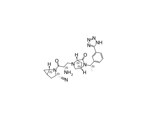 C[C@@H](c1cccc(-c2nnn[nH]2)c1)N1C(=O)[C@@H]2C[C@H]1CN2C[C@H](N)C(=O)N1[C@H](C#N)CC2C[C@@H]21